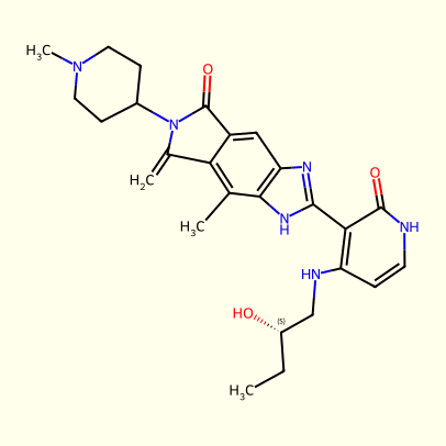 C=C1c2c(cc3nc(-c4c(NC[C@@H](O)CC)cc[nH]c4=O)[nH]c3c2C)C(=O)N1C1CCN(C)CC1